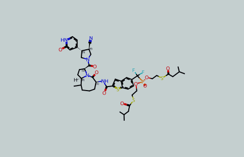 CC(C)CC(=O)SCCOP(=O)(OCCSC(=O)CC(C)C)C(F)(F)c1ccc2sc(C(=O)N[C@H]3CCCC(C)[C@H]4CC[C@@H](C(=O)N5C[C@H](c6cc[nH]c(=O)c6)[C@@H](C#N)C5)N4C3=O)cc2c1